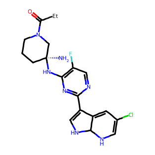 CCC(=O)N1CCC[C@](N)(Nc2nc(C3=CNC4NC=C(Cl)C=C34)ncc2F)C1